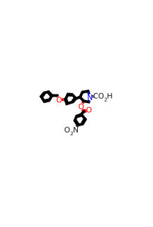 O=C(OC1CN(C(=O)O)CCC1c1ccc(OCc2ccccc2)cc1)c1ccc([N+](=O)[O-])cc1